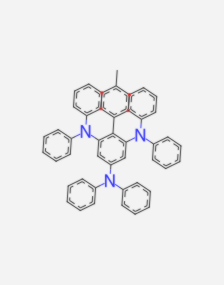 Cc1ccc(-c2c(N(c3ccccc3)c3ccccc3)cc(N(c3ccccc3)c3ccccc3)cc2N(c2ccccc2)c2ccccc2)cc1